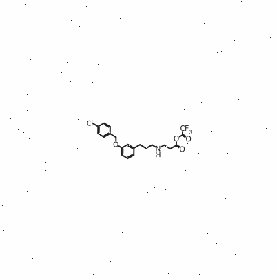 O=C(CCNCCCc1cccc(OCc2ccc(Cl)cc2)c1)OC(=O)C(F)(F)F